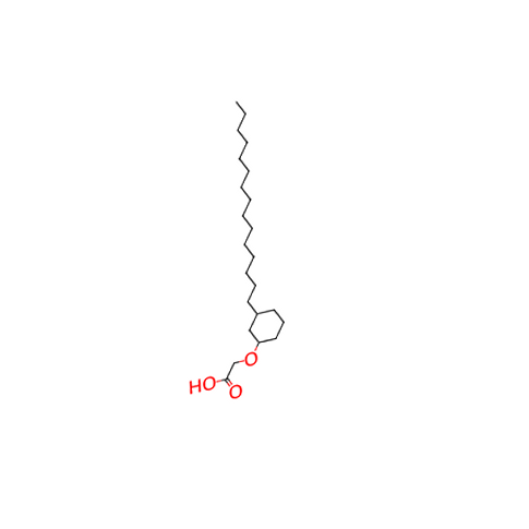 CCCCCCCCCCCCCCCC1CCCC(OCC(=O)O)C1